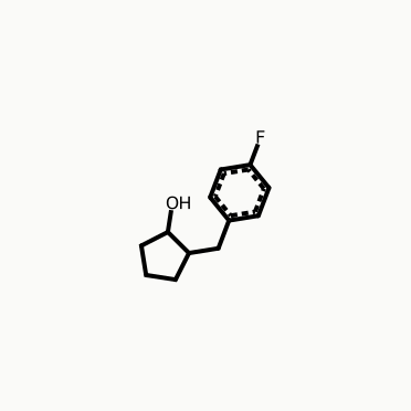 OC1CCCC1Cc1ccc(F)cc1